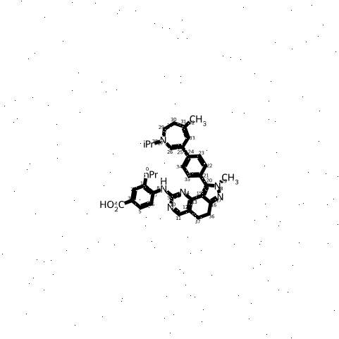 CCCc1cc(C(=O)O)ccc1Nc1ncc2c(n1)-c1c(nn(C)c1-c1ccc(C3=CN(C(C)C)CCC(C)=C3)cc1)CC2